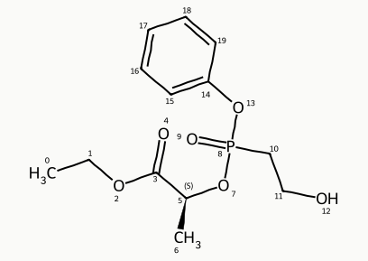 CCOC(=O)[C@H](C)OP(=O)(CCO)Oc1ccccc1